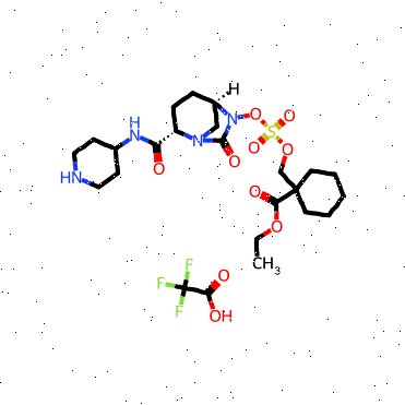 CCOC(=O)C1(COS(=O)(=O)ON2C(=O)N3C[C@H]2CC[C@H]3C(=O)NC2CCNCC2)CCCCC1.O=C(O)C(F)(F)F